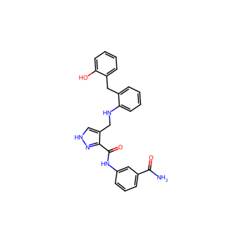 NC(=O)c1cccc(NC(=O)c2n[nH]cc2CNc2ccccc2Cc2ccccc2O)c1